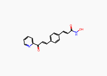 O=C(/C=C/c1ccc(/C=C/C(=O)c2ccccn2)cc1)NO